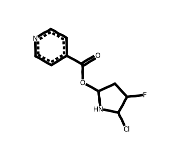 O=C(OC1CC(F)C(Cl)N1)c1ccncc1